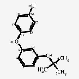 CC(C)(C)Oc1cccc(Oc2ccc(Cl)cc2)c1